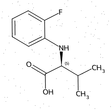 CC(C)[C@H](Nc1ccccc1F)C(=O)O